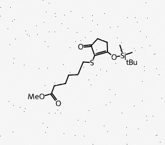 COC(=O)CCCCCSC1=C(O[Si](C)(C)C(C)(C)C)CCC1=O